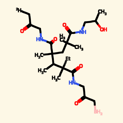 [2H]CC(=O)CNC(=O)C(C)(CC(C)(C)C(=O)NCC(C)O)C(C)C(C)(CC)C(=O)NCC(=O)CB